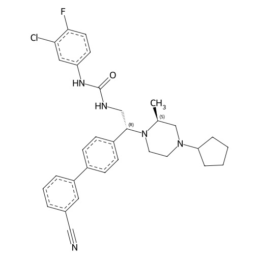 C[C@H]1CN(C2CCCC2)CCN1[C@@H](CNC(=O)Nc1ccc(F)c(Cl)c1)c1ccc(-c2cccc(C#N)c2)cc1